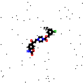 O=C(CCN1CCN(C(=O)OCc2cc(Cl)cc(C(F)(F)F)c2)CC1)c1ccc2[nH]c(=O)oc2c1